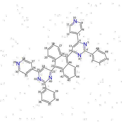 c1ccc(-c2nc(-c3ccncc3)cc(-c3c4ccccc4c(-c4cc(-c5ccncc5)nc(-c5ccccc5)n4)c4ccccc34)n2)cc1